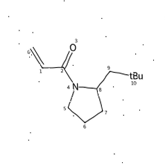 C=CC(=O)N1CCCC1CC(C)(C)C